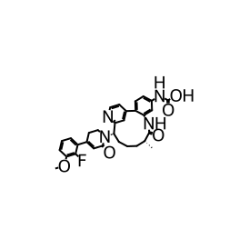 COc1cccc(C2=CC(=O)N([C@H]3CCC[C@@H](C)C(=O)Nc4cc(NC(=O)O)ccc4-c4ccnc3c4)CC2)c1F